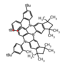 Cc1cc(C(C)(C)C)ccc1N1c2cc3c(cc2B2c4cc5c(cc4N(c4ccc(C(C)(C)C)cc4-c4ccccc4)c4cc(C(C)(C)C)cc1c42)C(C)(C)CC5(C)C)C(C)(C)CC3(C)C